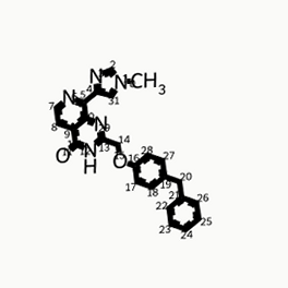 Cn1cnc(-c2nccc3c(=O)[nH]c(COc4ccc(Cc5ccccc5)cc4)nc23)c1